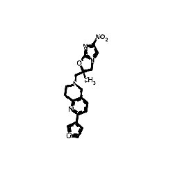 C[C@]1(CN2CCc3nc(-c4ccoc4)ccc3C2)Cn2cc([N+](=O)[O-])nc2O1